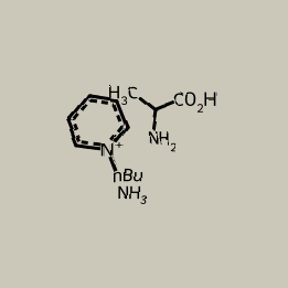 CC(N)C(=O)O.CCCC[n+]1ccccc1.N